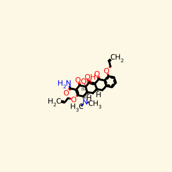 C=CCOC1=C(C(N)=O)C(=O)[C@@]2(O)C(O)=C3C(=O)c4c(cccc4OCC=C)C[C@H]3C[C@H]2[C@@H]1N(C)C